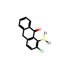 CC[SH](CC)c1c(Cl)ccc2c1C(=O)c1ccccc1C2